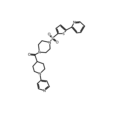 O=C(C1CCN(c2ccncc2)CC1)N1CCN(S(=O)(=O)c2ccc(-c3ccccn3)s2)CC1